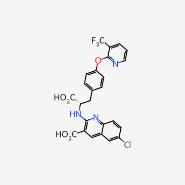 O=C(O)c1cc2cc(Cl)ccc2nc1N[C@@H](Cc1ccc(Oc2ncccc2C(F)(F)F)cc1)C(=O)O